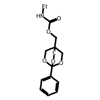 CCNC(=O)OCC12COC(c3ccccc3)(OC1)OC2